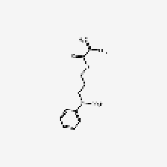 C=C(C)C(=O)OCCCN(C(=O)O)c1ccccc1